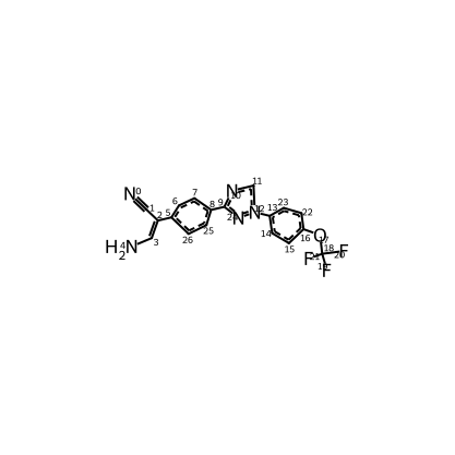 N#C/C(=C\N)c1ccc(-c2ncn(-c3ccc(OC(F)(F)F)cc3)n2)cc1